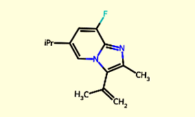 C=C(C)c1c(C)nc2c(F)cc(C(C)C)cn12